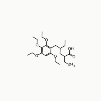 CCOc1cc(OCC)c(OCC)c(OCC)c1CC(CC)CC(CN)C(=O)O